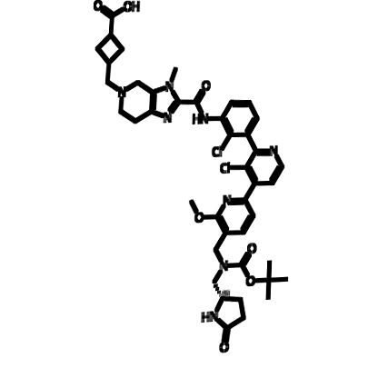 COc1nc(-c2ccnc(-c3cccc(NC(=O)c4nc5c(n4C)CN(CC4CC(C(=O)O)C4)CC5)c3Cl)c2Cl)ccc1CN(C[C@@H]1CCC(=O)N1)C(=O)OC(C)(C)C